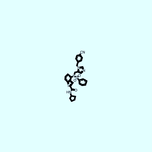 N#Cc1ccc(Cn2cncc2CN(c2cccc3sc(C(=O)NC4CCCC4)cc23)S(=O)(=O)c2ccccc2)cc1